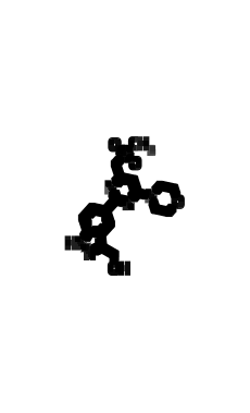 CS(=O)(=O)Cc1cc(N2CCOCC2)nc(-c2ccc3[nH]nc(CO)c3c2)n1